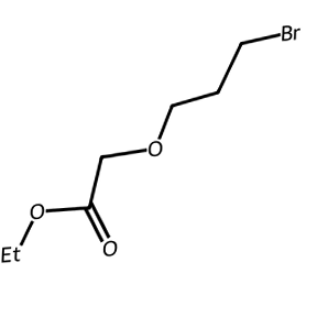 CCOC(=O)COCCCBr